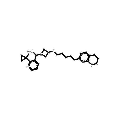 CC1(c2ncccc2C(C(=O)O)N2CC(OCCCCCc3ccc4c(n3)NCCC4)C2)CC1